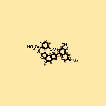 COc1cc(N(C[C@H]2Cc3c(c(F)cc4nc(-c5cc(C)cc6nc(OC)cnc56)sc34)O2)C(=O)O)ccn1